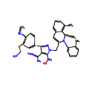 C=Nc1ccc(-c2nn(CC3=Cc4cccc(C)c4C(=C)N3c3ccccc3C)c(NO)c2C(=N)N)cc1SCN